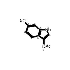 CC(=O)Oc1c[nH]c2cc(C#N)ccc12